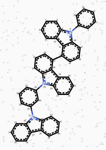 c1ccc(-n2c3ccccc3c3c(-c4cccc5c4c4ccccc4n5-c4cccc(-n5c6ccccc6c6ccccc65)c4)cccc32)cc1